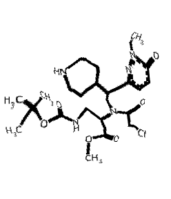 COC(=O)C(CNC(=O)OC(C)(C)C)N(C(=O)CCl)C(c1ccc(=O)n(C)n1)C1CCNCC1